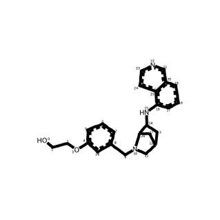 OCCOc1cccc(CN2CC3CC(Nc4cccc5cnccc45)C2C3)c1